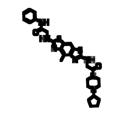 Cc1c2nc(NCC(=O)Nc3ccccc3)sc2cc2sc(NCC(=O)N3CCN(C4CCCC4)CC3)nc12